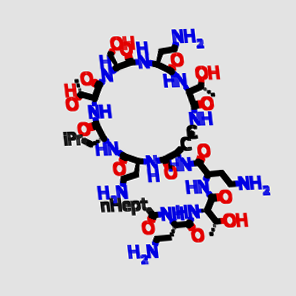 CCCCCCCC(=O)N[C@@H](CCN)C(=O)N[C@H](C(=O)NC(CCN)C(=O)N[C@H]1CCNC(=O)[C@H]([C@@H](C)O)NC(=O)[C@H](CCN)NC(=O)[C@H](CO)NC(=O)[C@H]([C@@H](C)O)NC(=O)[C@@H](CC(C)C)NC(=O)[C@H](CCN)NC1=O)[C@@H](C)O